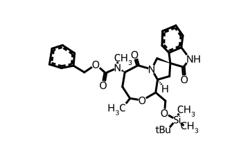 CC1C[C@H](N(C)C(=O)OCc2ccccc2)C(=O)N2C[C@]3(C[C@H]2C(CO[Si](C)(C)C(C)(C)C)O1)C(=O)Nc1ccccc13